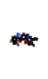 CCCC1CN(C)C(=O)c2c3c(nn2C1)CCN(C(=O)Nc1ccc(F)c(C(F)(F)F)c1)C3